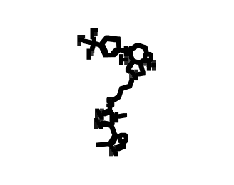 Cc1ncoc1-c1nnc(SCCCN2C[C@@H]3OCCN(c4ccc(C(F)(F)F)cc4)[C@@H]3C2)n1C